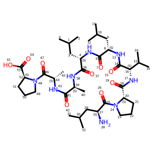 CC(C)C[C@H](NC(=O)[C@H](CC(C)C)NC(=O)[C@@H](NC(=O)[C@@H]1CCCN1C(=O)[C@@H](N)CC(C)C)C(C)C)C(=O)N[C@@H](C)C(=O)N[C@@H](C)C(=O)N1CCC[C@H]1C(=O)O